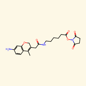 CC1=C(CC(=O)NCCCCCC(=O)ON2C(=O)CCC2=O)COc2cc(N)ccc21